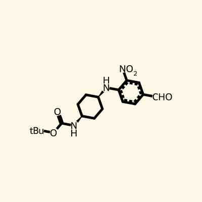 CC(C)(C)OC(=O)N[C@H]1CC[C@@H](Nc2ccc(C=O)cc2[N+](=O)[O-])CC1